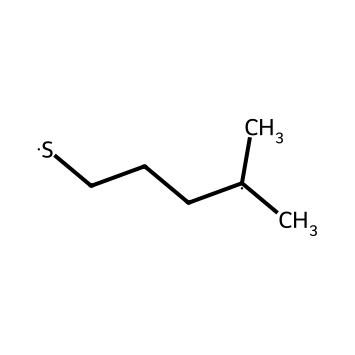 C[C](C)CCC[S]